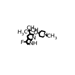 CN1CCC(Oc2nc3[nH]cc(F)c3cc2C(C)(C)C)CC1